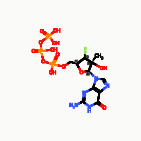 C[C@@]1(O)[C@H](F)[C@@H](COP(=O)(O)OP(=O)(O)OP(=O)(O)O)O[C@H]1n1cnc2c(=O)[nH]c(N)nc21